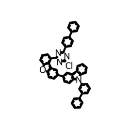 Clc1nc(-c2ccc(-c3ccccc3)cc2)nc(-c2cccc3oc4ccc(-c5ccc6c(c5)c5ccccc5n6-c5cccc(-c6ccccc6)c5)cc4c23)n1